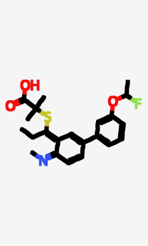 CC/C(SC(C)(C)C(=O)O)=C1/C=C(c2cccc(OC(C)F)c2)C=C/C1=N/C